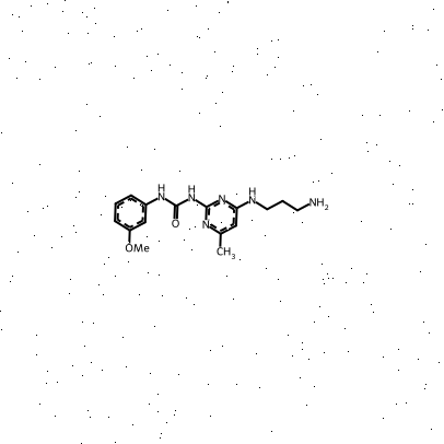 COc1cccc(NC(=O)Nc2nc(C)cc(NCCCN)n2)c1